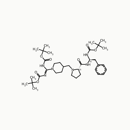 CC(C)(C)OC(=O)N=C(NC(=O)OC(C)(C)C)N1CCC(CN2CCC[C@H]2C(=O)N[C@H](Cc2ccccc2)NC(=O)OC(C)(C)C)CC1